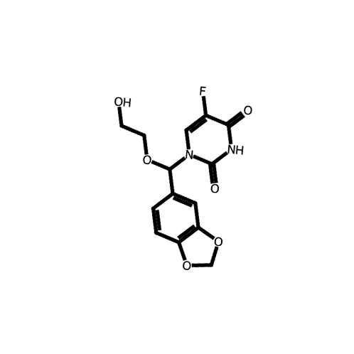 O=c1[nH]c(=O)n(C(OCCO)c2ccc3c(c2)OCO3)cc1F